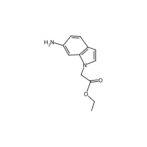 CCOC(=O)Cn1ccc2ccc(N)cc21